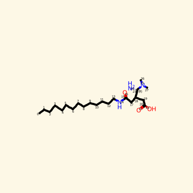 CCCCCCCCCCCCCCNC(=O)CC(CC(=O)O)[C@H](N)N(C)C